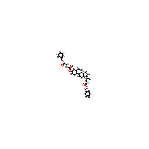 CC(CCC(=O)OCc1ccccc1)C1CCC2C3CCC4CC(OC(=O)CCC(=O)OCc5ccccc5)CCC4(C)C3CCC12C